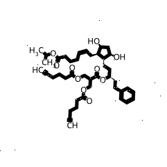 C#CCCCC(=O)OCC(COC(=O)CCCC#C)C(=O)O[C@@H](CCc1ccccc1)CC[C@@H]1[C@@H](C/C=C\CCCC(=O)OC(C)C)[C@@H](O)C[C@H]1O